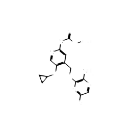 CC(C)(C)OC(=O)Nc1cc(COc2nc(Br)cnc2N)c(OC2CC2)cn1